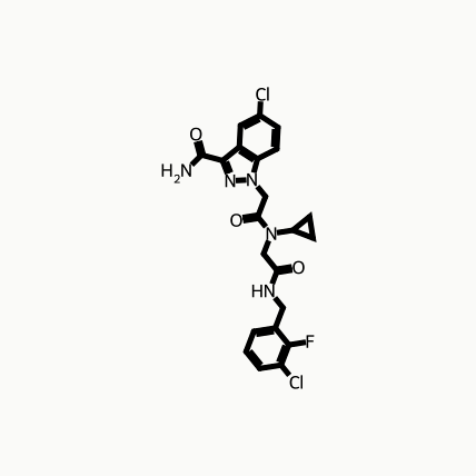 NC(=O)c1nn(CC(=O)N(CC(=O)NCc2cccc(Cl)c2F)C2CC2)c2ccc(Cl)cc12